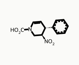 O=C(O)N1C=C[C@H](c2ccccc2)[C@@H]([N+](=O)[O-])C1